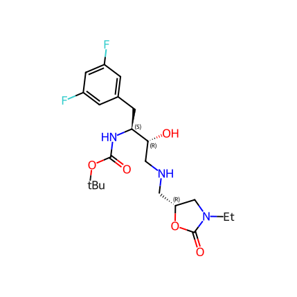 CCN1C[C@@H](CNC[C@@H](O)[C@H](Cc2cc(F)cc(F)c2)NC(=O)OC(C)(C)C)OC1=O